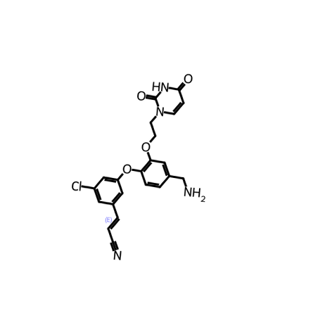 N#C/C=C/c1cc(Cl)cc(Oc2ccc(CN)cc2OCCn2ccc(=O)[nH]c2=O)c1